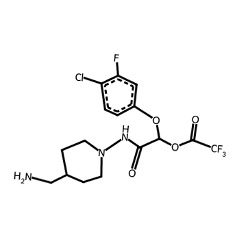 NCC1CCN(NC(=O)C(OC(=O)C(F)(F)F)Oc2ccc(Cl)c(F)c2)CC1